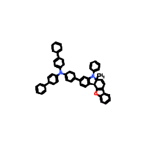 CC12C=Cc3c(oc4ccccc34)C1c1ccc(-c3ccc(N(c4ccc(-c5ccccc5)cc4)c4ccc(-c5ccccc5)cc4)cc3)cc1N2c1ccccc1